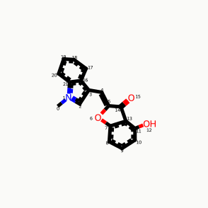 Cn1cc(C=C2Oc3cccc(O)c3C2=O)c2ccccc21